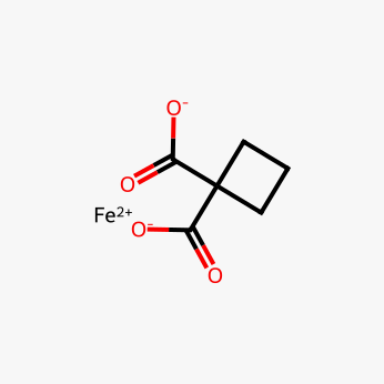 O=C([O-])C1(C(=O)[O-])CCC1.[Fe+2]